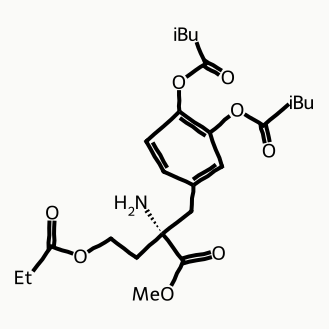 CCC(=O)OCC[C@@](N)(Cc1ccc(OC(=O)C(C)CC)c(OC(=O)C(C)CC)c1)C(=O)OC